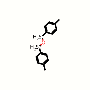 Cc1ccc([SiH2]O[SiH2]c2ccc(C)cc2)cc1